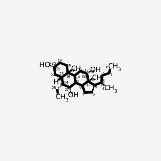 CCC[C@@H](C)[C@H]1CCC2C3C(C[C@H](O)[C@@]21C)[C@@]1(C)CC[C@@H](O)C[C@H]1[C@@H](CC)[C@H]3O